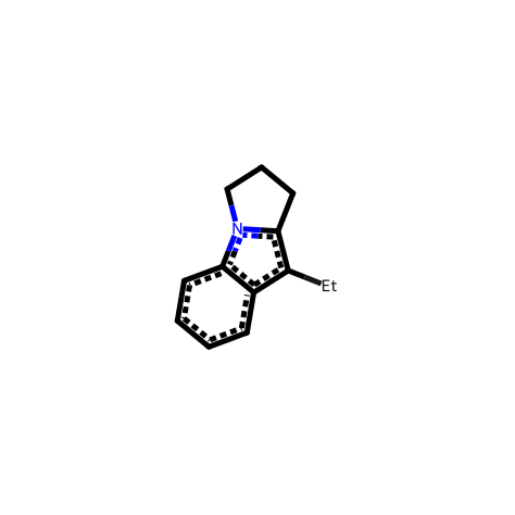 CCc1c2n(c3ccccc13)CCC2